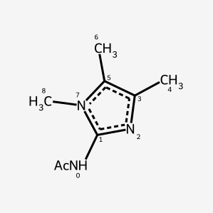 CC(=O)Nc1nc(C)c(C)n1C